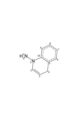 NN1C=CCc2ccccc21